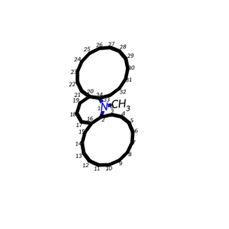 CN1C2CCCCCCCCCCCCCC2CCCC2CCCCCCCCCCCCCC21